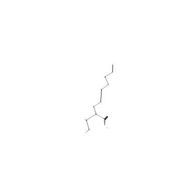 CCCCCCCC(CCC)C(=O)O